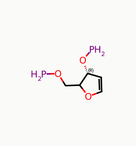 POCC1OC=C[C@H]1OP